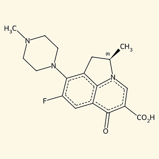 C[C@@H]1Cc2c(N3CCN(C)CC3)c(F)cc3c(=O)c(C(=O)O)cn1c23